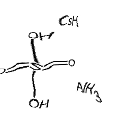 O=S(=O)(O)O.[AlH3].[CsH]